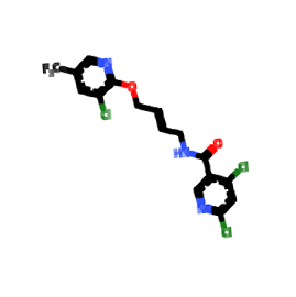 O=C(NCC=CCOc1ncc(C(F)(F)F)cc1Cl)c1cnc(Cl)cc1Cl